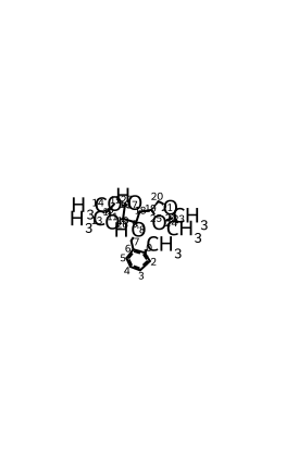 Cc1ccccc1CO[C@@H]1[C@H]2OC(C)(C)O[C@H]2O[C@@H]1[C@H]1COC(C)(C)O1